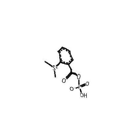 C[S+](C)c1ccccc1C(=O)OP(=O)([O-])O